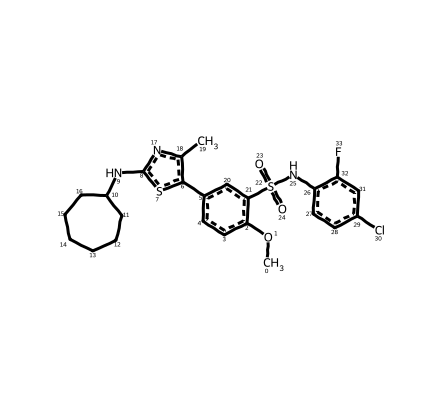 COc1ccc(-c2sc(NC3CCCCCC3)nc2C)cc1S(=O)(=O)Nc1ccc(Cl)cc1F